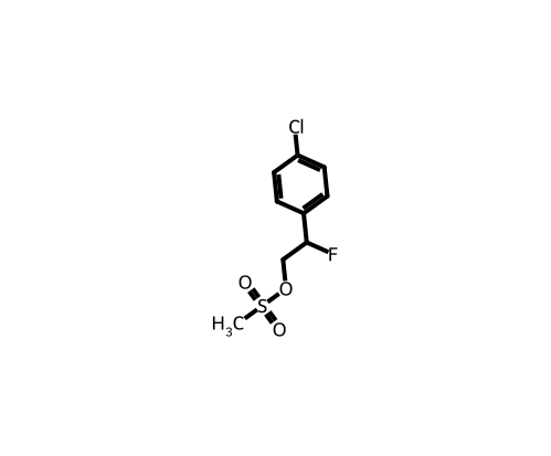 CS(=O)(=O)OCC(F)c1ccc(Cl)cc1